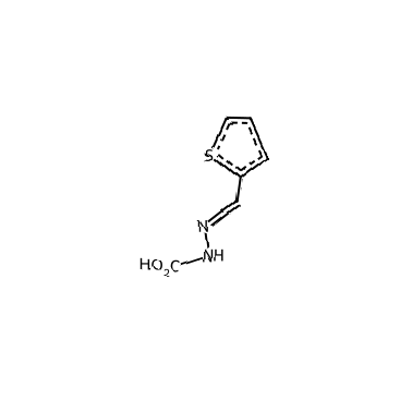 O=C(O)NN=Cc1cccs1